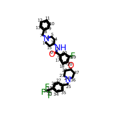 O=C(NC1CCN(Cc2ccccc2)CC1)c1ccc(OC2CCN(Cc3ccc(C(F)(F)F)cc3)CC2)c(F)c1